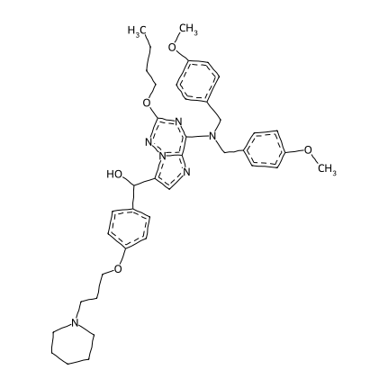 CCCCOc1nc(N(Cc2ccc(OC)cc2)Cc2ccc(OC)cc2)c2ncc(C(O)c3ccc(OCCCN4CCCCC4)cc3)n2n1